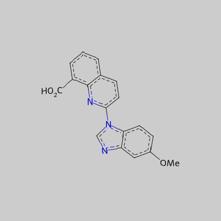 COc1ccc2c(c1)ncn2-c1ccc2cccc(C(=O)O)c2n1